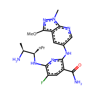 CCC[C@@H](Nc1nc(Nc2cnc3c(c2)c(OC)nn3C)c(C(N)=O)cc1F)[C@H](C)N